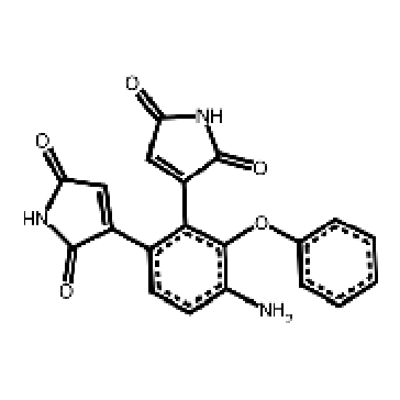 Nc1ccc(C2=CC(=O)NC2=O)c(C2=CC(=O)NC2=O)c1Oc1ccccc1